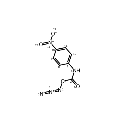 [N-]=[N+]=NOC(=O)Nc1ccc([N+](=O)[O-])cc1